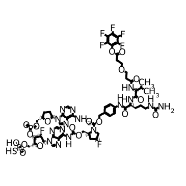 CC(C)[C@H](NC(=O)CCOCCC(=O)Oc1c(F)c(F)c(F)c(F)c1F)C(=O)N[C@@H](CCCNC(N)=O)C(=O)Nc1ccc(COC(=O)N2C[C@@H](F)C[C@H]2COC(=O)Nc2ncnc3c2ncn3[C@@H]2O[C@H](CO[P@](=O)(O)S)[C@@H](O[P+](=O)OC[C@@H]3CC[C@H](n4cnc5c(N)ncnc54)O3)[C@H]2F)cc1